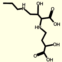 CCCNCC(O)C(NCCC(O)C(=O)O)C(=O)O